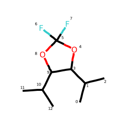 CC(C)C1OC(F)(F)OC1C(C)C